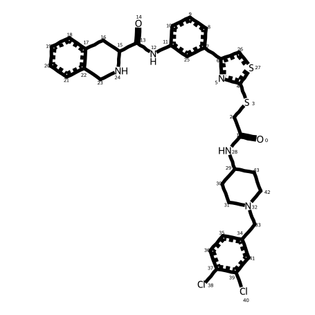 O=C(CSc1nc(-c2cccc(NC(=O)C3Cc4ccccc4CN3)c2)cs1)NC1CCN(Cc2ccc(Cl)c(Cl)c2)CC1